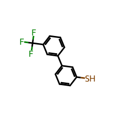 FC(F)(F)c1cccc(-c2cccc(S)c2)c1